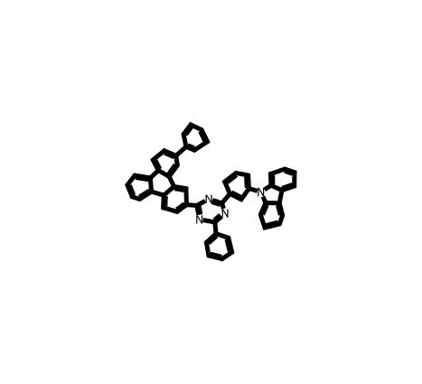 c1ccc(-c2ccc3c4ccccc4c4ccc(-c5nc(-c6ccccc6)nc(-c6cccc(-n7c8ccccc8c8ccccc87)c6)n5)cc4c3c2)cc1